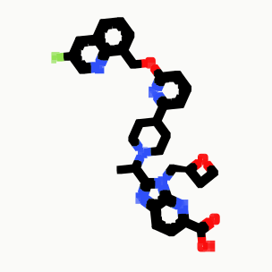 CC(c1nc2ccc(C(=O)O)nc2n1C[C@@H]1CCO1)N1CCC(c2cccc(OCc3cccc4cc(F)cnc34)n2)CC1